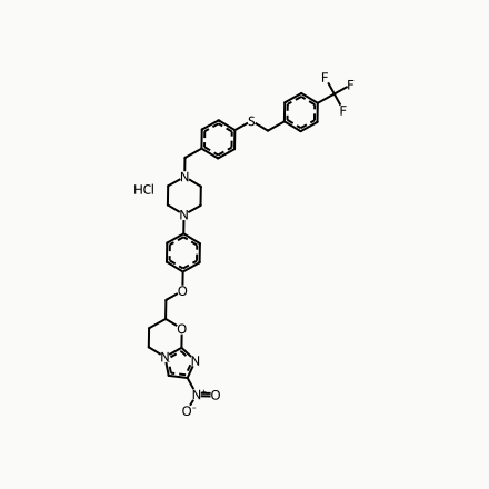 Cl.O=[N+]([O-])c1cn2c(n1)OC(COc1ccc(N3CCN(Cc4ccc(SCc5ccc(C(F)(F)F)cc5)cc4)CC3)cc1)CC2